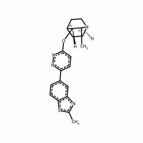 Cc1nc2cc(-c3ccc(O[C@@H]4C5CCN(CC5)[C@H]4C)nn3)ccc2s1